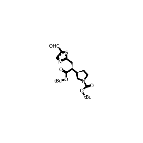 CC(C)(C)OC(=O)[C@@H](Cc1ncc(C=O)s1)[C@H]1CCN(C(=O)OC(C)(C)C)C1